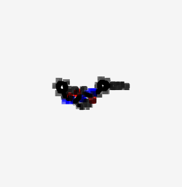 CCN(C(=O)[C@H](CC(C)C)NOCc1ccccc1)C(C(=O)O)C(=O)NCc1cccc(OC)c1